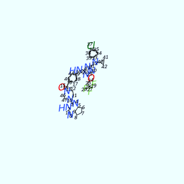 N#CNC(=NC1CCCC1)N1CCN(C(=O)c2ccc(Nc3nc(OCC(F)(F)F)nc(N(c4ccc(Cl)cc4)C4CC4)n3)cc2)CC1